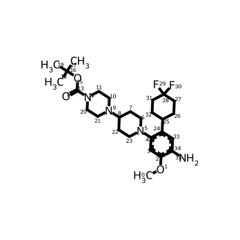 COc1cc(N2CCC(N3CCN(C(=O)OC(C)(C)C)CC3)CC2)c(C2CCC(F)(F)CC2)cc1N